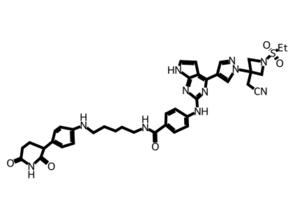 CCS(=O)(=O)N1CC(CC#N)(n2cc(-c3nc(Nc4ccc(C(=O)NCCCCCNc5ccc(C6CCC(=O)NC6=O)cc5)cc4)nc4[nH]ccc34)cn2)C1